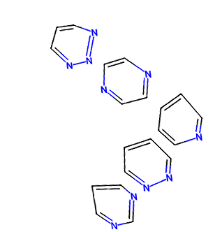 c1ccncc1.c1ccnnc1.c1cnccn1.c1cncnc1.c1cnnnc1